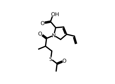 C=CC1=CC(C(=O)O)N(C(=O)C(C)CSC(C)=O)C1